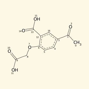 CC(=O)c1ccc(OCC(=O)O)c(C(=O)O)c1